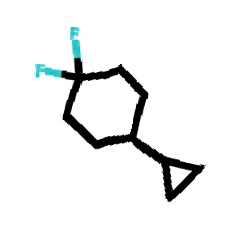 FC1(F)[CH]CC(C2CC2)CC1